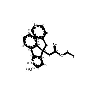 CCOC(=O)CC1(Cc2ccncc2)c2ccccc2-c2sccc21.Cl